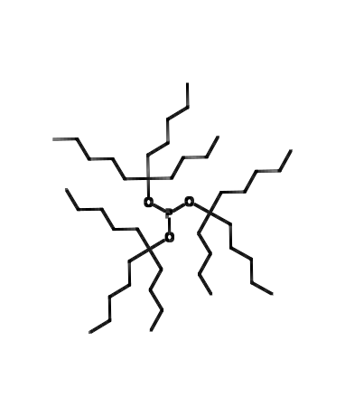 CCCCCC(CCCC)(CCCCC)OP(OC(CCCC)(CCCCC)CCCCC)OC(CCCC)(CCCCC)CCCCC